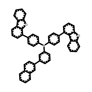 c1cc(-c2ccc3ccccc3c2)cc(N(c2ccc(-c3cccc4c3oc3ccccc34)cc2)c2ccc(-c3cccc4oc5ccccc5c34)cc2)c1